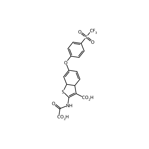 O=C(O)C(=O)NC1=C(C(=O)O)C2C=CC(Oc3ccc(S(=O)(=O)C(F)(F)F)cc3)=CC2S1